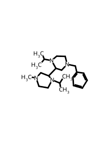 CC(C)N1CCN(C)CC1C1CN(Cc2ccccc2)CCN1C(C)C